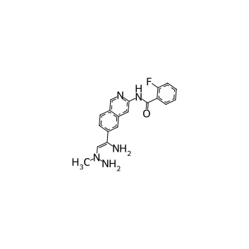 CN(N)/C=C(\N)c1ccc2cnc(NC(=O)c3ccccc3F)cc2c1